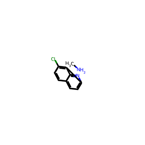 CN.Clc1ccc2ccc3nc2c13